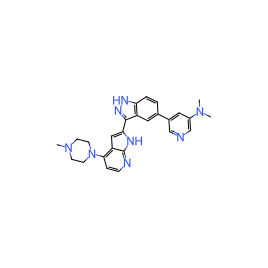 CN1CCN(c2ccnc3[nH]c(-c4n[nH]c5ccc(-c6cncc(N(C)C)c6)cc45)cc23)CC1